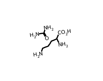 NC(N)=O.NCCCC(N)C(=O)O